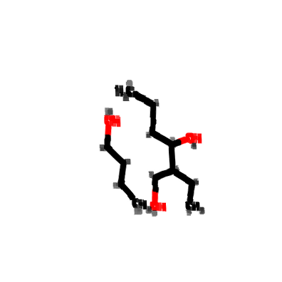 CCCC(O)C(CC)CO.CCCCO